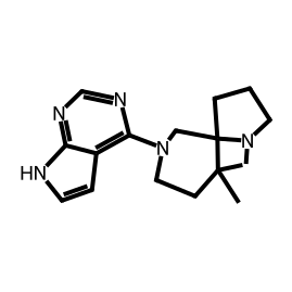 CN1CCCC12CN(c1ncnc3[nH]ccc13)CCC2(C)C